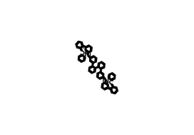 c1ccc(N(c2cccc(-c3ccccc3-c3ccccc3-c3cccc(N(c4ccccc4)c4cccc5c4sc4ccccc45)c3)c2)c2cccc3c2sc2ccccc23)cc1